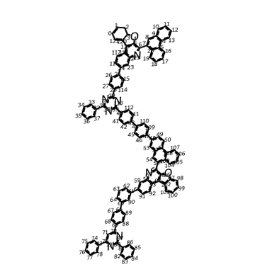 C1=CCC2Oc3c(-c4cc5ccccc5c5ccccc45)nc4cc(-c5ccc(-c6nc(-c7ccccc7)nc(-c7ccc(-c8ccc(-c9ccc%10c(c9)cc(-c9nc%11cc(-c%12cccc(-c%13ccc(-c%14cc(-c%15ccccc%15)nc(-c%15ccccc%15)n%14)cc%13)c%12)ccc%11c%11c9oc9ccccc9%11)c9ccccc9%10)cc8)cc7)n6)cc5)ccc4c3C2=C1